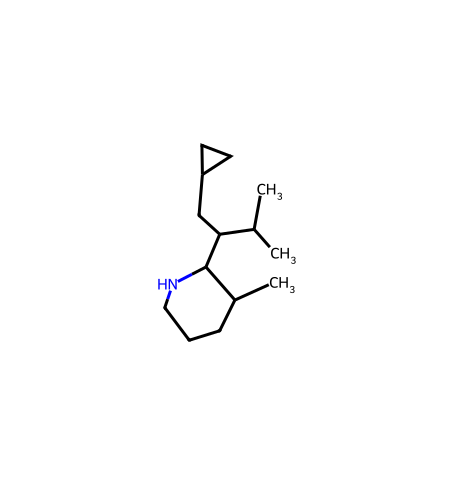 CC(C)C(CC1CC1)C1NCCCC1C